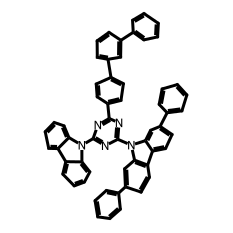 c1ccc(-c2cccc(-c3ccc(-c4nc(-n5c6ccccc6c6ccccc65)nc(-n5c6cc(-c7ccccc7)ccc6c6ccc(-c7ccccc7)cc65)n4)cc3)c2)cc1